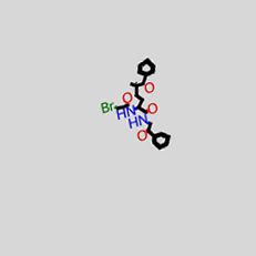 C[C](CCC(NC(=O)CBr)C(=O)NCC(=O)c1ccccc1)C(=O)c1ccccc1